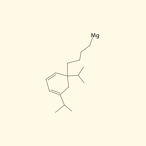 CC(C)C1=CC=CC(CCC[CH2][Mg])(C(C)C)C1